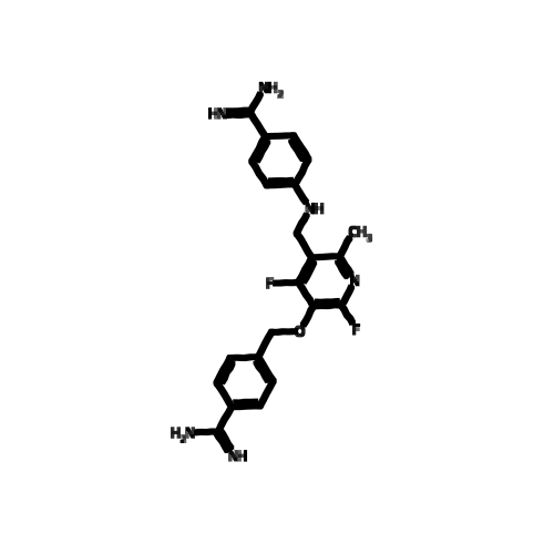 Cc1nc(F)c(OCc2ccc(C(=N)N)cc2)c(F)c1CNc1ccc(C(=N)N)cc1